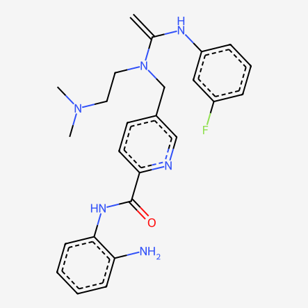 C=C(Nc1cccc(F)c1)N(CCN(C)C)Cc1ccc(C(=O)Nc2ccccc2N)nc1